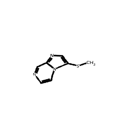 CSc1cnc2cnccn12